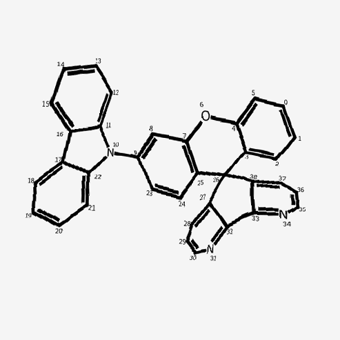 c1ccc2c(c1)Oc1cc(-n3c4ccccc4c4ccccc43)ccc1C21c2cccnc2-c2ncccc21